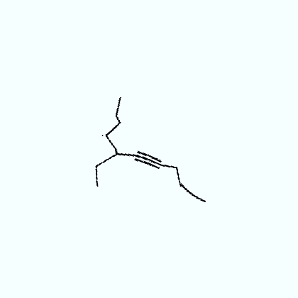 CC[CH]C(C#CCCC)CC